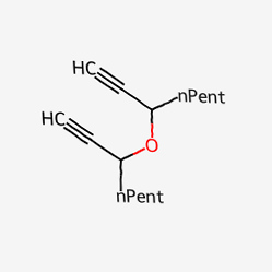 C#CC(CCCCC)OC(C#C)CCCCC